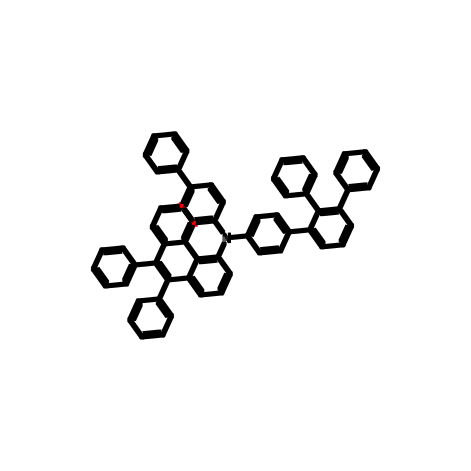 c1ccc(-c2ccc(N(c3ccc(-c4cccc(-c5ccccc5)c4-c4ccccc4)cc3)c3cccc4c(-c5ccccc5)c(-c5ccccc5)c5ccccc5c34)cc2)cc1